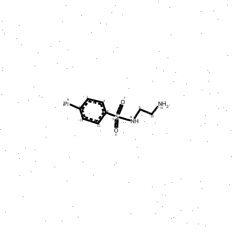 CC(C)c1ccc(S(=O)(=O)NCCN)cc1